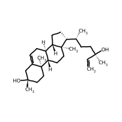 C=C[C@](C)(O)CC[C@@H](C)[C@H]1CC[C@H]2[C@@H]3CC=C4C[C@@](C)(O)CC[C@]4(C)[C@H]3CC[C@]12C